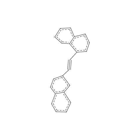 C(#Cc1cccc2cc[c]cc12)c1ccc2ccccc2c1